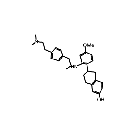 COc1ccc(C2CCc3cc(O)ccc3C2)c(NC(C)Cc2ccc(CCN(C)C)cc2)c1